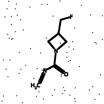 C=NC(=O)N1CC(CF)C1